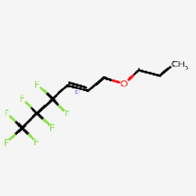 CC[CH]OC/C=C/C(F)(F)C(F)(F)C(F)(F)F